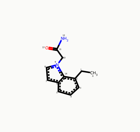 CCc1cccc2ccn(CC(N)=O)c12